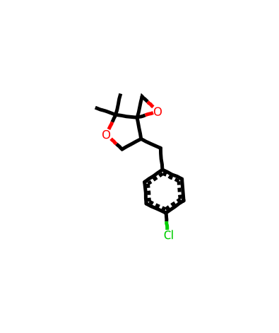 CC1(C)OCC(Cc2ccc(Cl)cc2)C12CO2